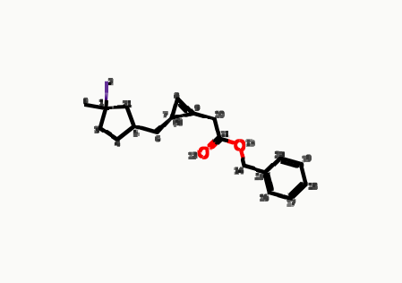 CC1(I)CCC(C[C@H]2C=C2CC(=O)OCc2ccccc2)C1